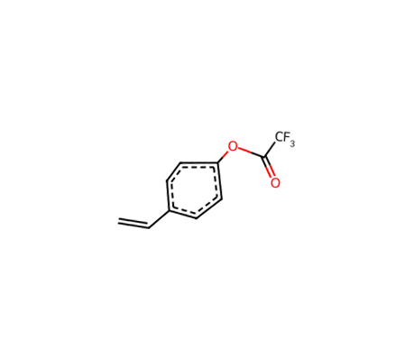 C=Cc1ccc(OC(=O)C(F)(F)F)cc1